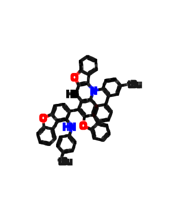 CC(C)(C)c1ccc(Nc2c(-c3c4c(cc5c3oc3ccccc35)N(c3ccc(C(C)(C)C)cc3-c3ccccc3)c3c(oc5ccccc35)B4)ccc3oc4ccccc4c23)cc1